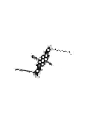 CCCCCCCCCCCCc1cc2c(cc1N)nc1c3ccc4c5c(NCC[N+](=O)[O-])cc6c(=O)n7c8cc(CCCCCCCCCCCC)c([N+](=O)[O-])cc8nc7c7ccc(c8c(NCCN)cc(c(=O)n21)c3c48)c5c67